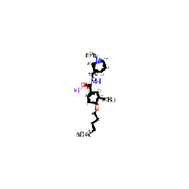 CCCCCCCCCCCCCCOc1ccc(C(=O)NCc2ccc[n+](CCC)c2)cc1C(C)(C)C.[I-]